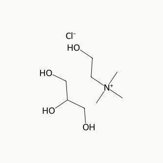 C[N+](C)(C)CCO.OCC(O)CO.[Cl-]